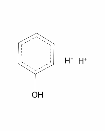 Oc1ccccc1.[H+].[H+]